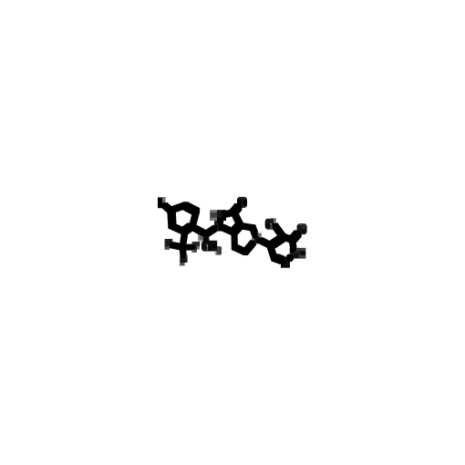 C[C@@H](c1ccc(F)cc1C(F)(F)F)n1[nH]c(=O)c2c1CCN(c1cn[nH]c(=O)c1Cl)C2